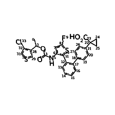 CC(OC(=O)Nc1cc(F)sc1-c1ccccc1-c1ccc(C2(C(=O)O)CC2)cc1)c1cscc1Cl